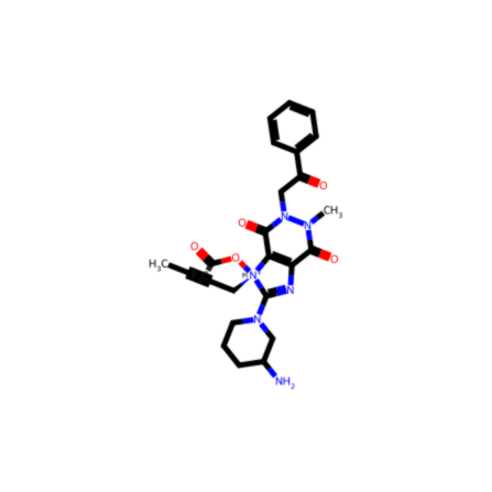 CC#CC[N@+]1(OC(=O)C(F)(F)F)C(N2CCCC(N)C2)=Nc2c1c(=O)n(CC(=O)c1ccccc1)n(C)c2=O